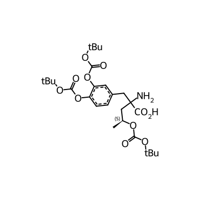 C[C@@H](CC(N)(Cc1ccc(OC(=O)OC(C)(C)C)c(OC(=O)OC(C)(C)C)c1)C(=O)O)OC(=O)OC(C)(C)C